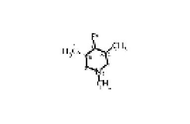 C[C@H]1CN(C)C[C@H](C)C1F